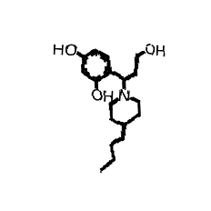 CCCCC1CCN(C(CCO)c2ccc(O)cc2O)CC1